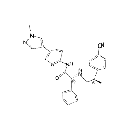 C[C@@H](CN[C@@H](C(=O)Nc1ccc(-c2cnn(C)c2)cn1)c1ccccc1)c1ccc(C#N)cc1